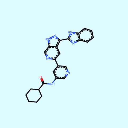 O=C(Nc1cncc(-c2cc3c(-c4nc5ccccc5[nH]4)n[nH]c3cn2)c1)C1CCCCC1